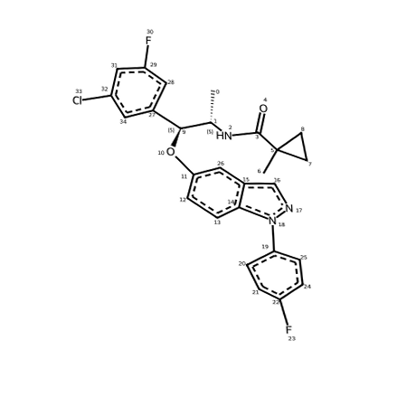 C[C@H](NC(=O)C1(C)CC1)[C@@H](Oc1ccc2c(cnn2-c2ccc(F)cc2)c1)c1cc(F)cc(Cl)c1